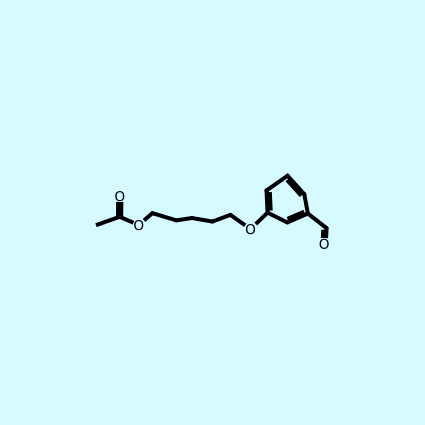 CC(=O)OCCCCCOc1cccc(C=O)c1